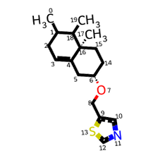 CC1CC=C2C[C@@H](OCc3cncs3)CC[C@]2(C)C1C